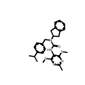 CSc1nc(C)nc(SC)c1NC(=O)N(Cc1ccc(C(C)C)cc1)C1Cc2ccccc2C1